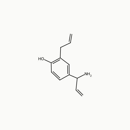 C=CCc1cc(C(N)C=C)ccc1O